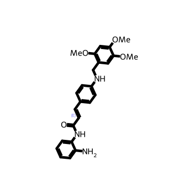 COc1cc(OC)c(OC)cc1CNc1ccc(/C=C/C(=O)Nc2ccccc2N)cc1